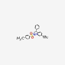 Cc1ccc(S(=O)(=O)NCC(c2ccccc2)c2ccc(C(C)(C)C)cc2)cc1